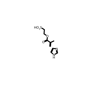 C=C(C)C(=O)OCCS(=O)(=O)O.c1c[nH]cn1